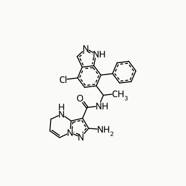 CC(NC(=O)c1c(N)nn2c1NCC=C2)c1cc(Cl)c2cn[nH]c2c1-c1ccccc1